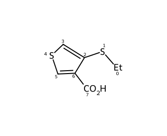 CCSc1cscc1C(=O)O